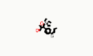 CC[Si](CC)(CC)c1occ(C=O)c1-c1ccccc1.[Li][CH2]CCC